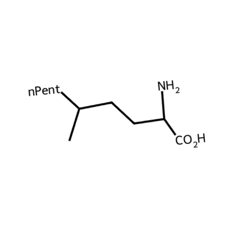 CCCCCC(C)CCC(N)C(=O)O